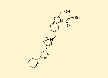 CC(C)(C)OC(=O)n1c(CO)cc2ccc(Cn3cc(-c4ccn(C5CCCCO5)c4)nn3)cc21